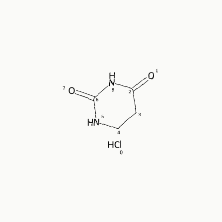 Cl.O=C1CCNC(=O)N1